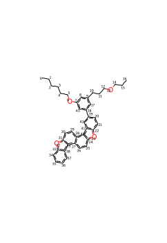 CCCCCCOc1cc(CCCOCCC)cc(-c2ccc3oc4ccc5c(ccc6oc7ccccc7c65)c4c3c2)c1